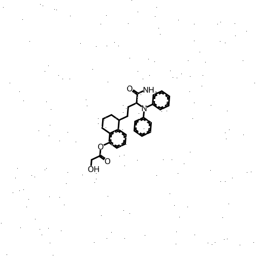 NC(=O)C(CCC1CCCc2c(OC(=O)CO)cccc21)N(c1ccccc1)c1ccccc1